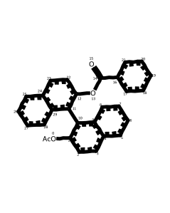 CC(=O)Oc1ccc2ccccc2c1-c1c(OC(=O)c2ccccc2)ccc2ccccc12